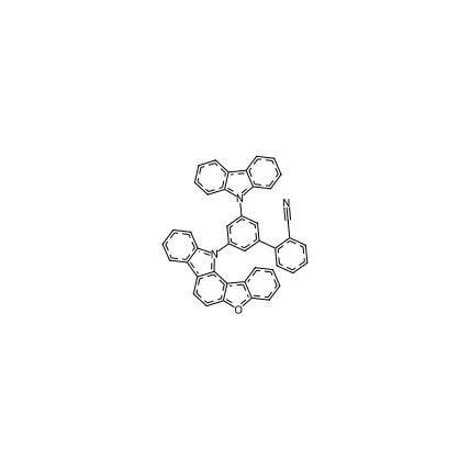 N#Cc1ccccc1-c1cc(-n2c3ccccc3c3ccccc32)cc(-n2c3ccccc3c3ccc4oc5ccccc5c4c32)c1